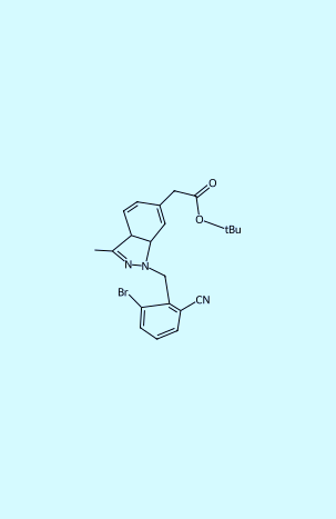 CC1=NN(Cc2c(Br)cccc2C#N)C2C=C(CC(=O)OC(C)(C)C)C=CC12